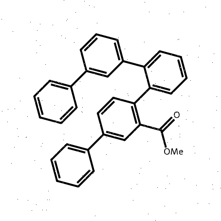 COC(=O)c1cc(-c2ccccc2)ccc1-c1ccccc1-c1cccc(-c2ccccc2)c1